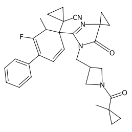 CC1C(F)=C(c2ccccc2)C=CC1(C1=NC2(CC2)C(=O)N1CC1CN(C(=O)C2(C)CC2)C1)C1(C#N)CC1